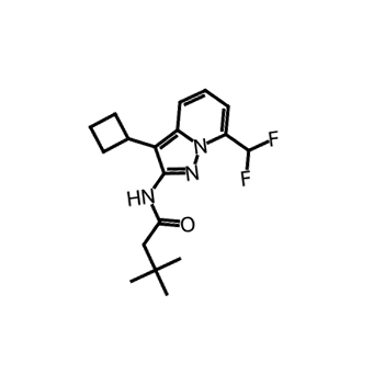 CC(C)(C)CC(=O)Nc1nn2c(C(F)F)cccc2c1C1CCC1